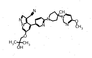 COC1=NCN(C2(C)CCN(c3ccc(-c4cc(OCC(C)(C)O)cn5ncc(C#N)c45)cn3)CC2)C=C1